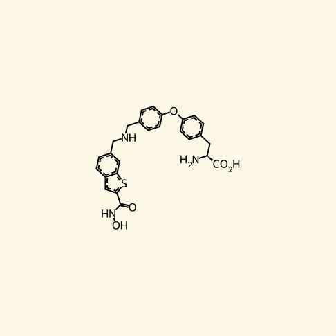 N[C@@H](Cc1ccc(Oc2ccc(CNCc3ccc4cc(C(=O)NO)sc4c3)cc2)cc1)C(=O)O